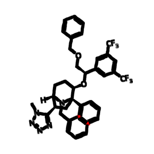 Cn1nnnc1[C@@H]1C[C@@]2(c3ccccc3)[C@H](O[C@@H](COCc3ccccc3)c3cc(C(F)(F)F)cc(C(F)(F)F)c3)CC[C@@H]1N2Cc1ccccc1